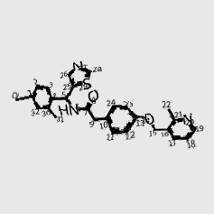 Cc1ccc(C(NC(=O)Cc2ccc(OCc3cccnc3C)cc2)c2cncs2)c(C)c1